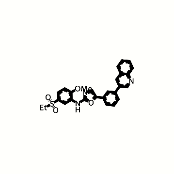 CCS(=O)(=O)c1ccc(OC)c(Nc2ncc(-c3cccc(-c4cnc5ccccc5c4)c3)o2)c1